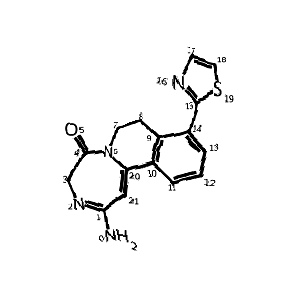 NC1=NCC(=O)N2CCc3c(cccc3-c3nccs3)C2=C1